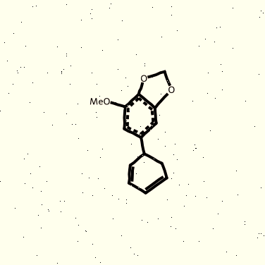 COc1cc(C2C=CC=CC2)cc2c1OCO2